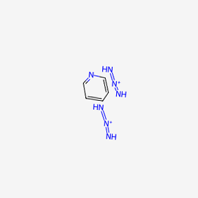 N=[N+]=N.N=[N+]=N.c1ccncc1